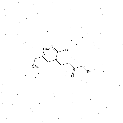 CC(=O)OCC(CN(CCC(=O)CC(C)C)C(=O)C(C)C)OC(C)=O